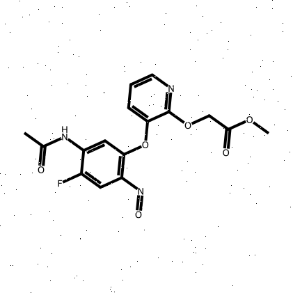 COC(=O)COc1ncccc1Oc1cc(NC(C)=O)c(F)cc1N=O